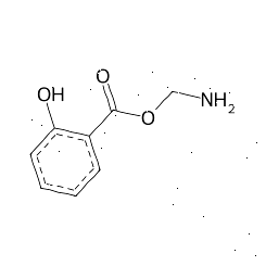 NCOC(=O)c1ccccc1O